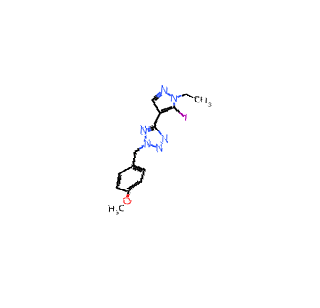 CCn1ncc(-c2nnn(Cc3ccc(OC)cc3)n2)c1I